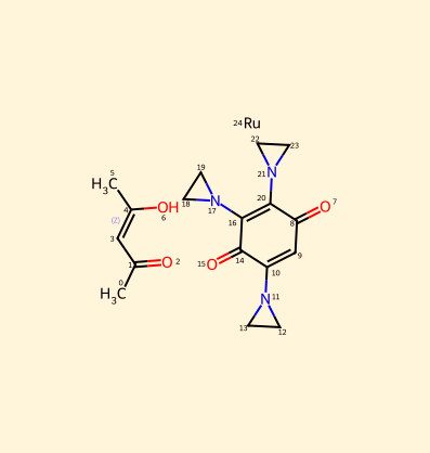 CC(=O)/C=C(/C)O.O=C1C=C(N2CC2)C(=O)C(N2CC2)=C1N1CC1.[Ru]